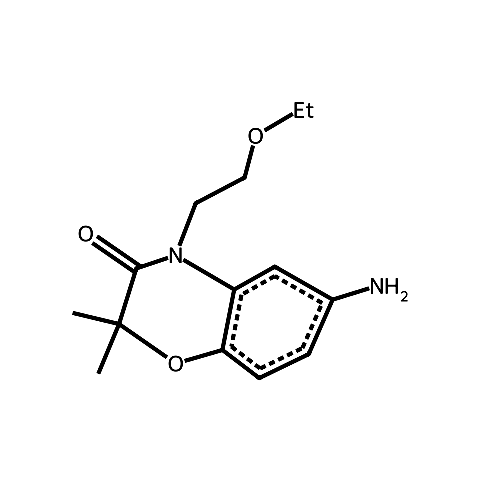 CCOCCN1C(=O)C(C)(C)Oc2ccc(N)cc21